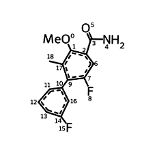 COc1c(C(N)=O)cc(F)c(-c2cccc(F)c2)c1C